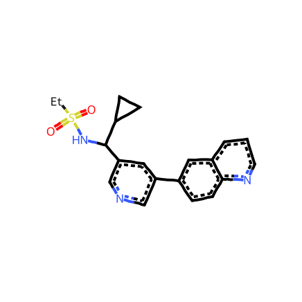 CCS(=O)(=O)NC(c1cncc(-c2ccc3ncccc3c2)c1)C1CC1